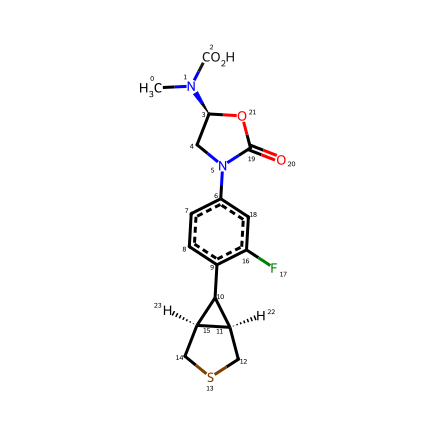 CN(C(=O)O)[C@@H]1CN(c2ccc(C3[C@H]4CSC[C@@H]34)c(F)c2)C(=O)O1